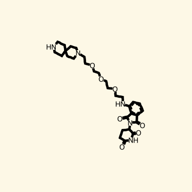 O=C1CCC(N2C(=O)c3cccc(NCCOCCOCCOCCN4CCC5(CCNCC5)CC4)c3C2=O)C(=O)N1